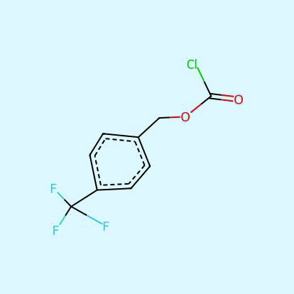 O=C(Cl)OCc1ccc(C(F)(F)F)cc1